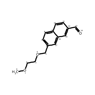 COCCOCc1ccc2ccc(C=O)cc2c1